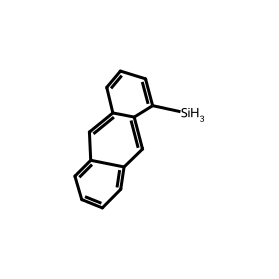 [SiH3]c1cccc2cc3ccccc3cc12